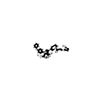 CCN1CC[C@@H]1/C=C/C(=O)N1CCC[C@@H](c2cn(-c3ccc(Oc4ccccc4)cc3)c3c(N)n[nH]c(=O)c23)C1